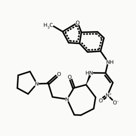 Cc1cc2cc(N/C(=C/[N+](=O)[O-])N[C@H]3CCCCN(CC(=O)N4CCCC4)C3=O)ccc2o1